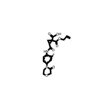 C=CCOC(=O)C1(C(=O)O)CC1C(=O)Nc1ccc(N2CCOCC2=O)cc1F